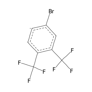 FC(F)(F)c1c[c]c(Br)cc1C(F)(F)F